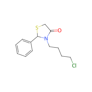 O=C1CSC(c2ccccc2)N1CCCCCl